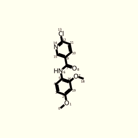 COc1ccc(NC(=O)c2ccc(Cl)nc2)c(OC)c1